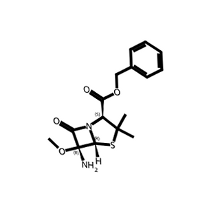 CO[C@]1(N)C(=O)N2[C@@H](C(=O)OCc3ccccc3)C(C)(C)S[C@@H]21